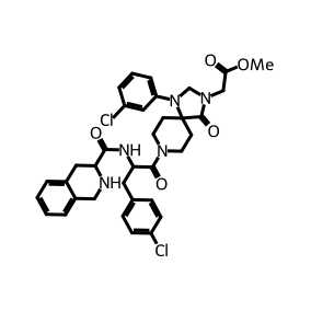 COC(=O)CN1CN(c2cccc(Cl)c2)C2(CCN(C(=O)C(Cc3ccc(Cl)cc3)NC(=O)C3Cc4ccccc4CN3)CC2)C1=O